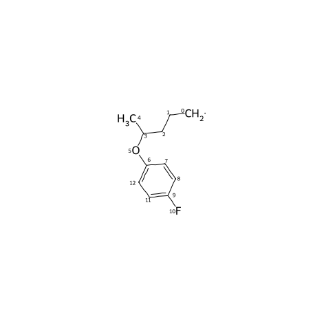 [CH2]CCC(C)Oc1ccc(F)cc1